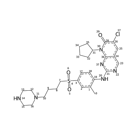 Cc1cc(S(=O)(=O)CCCCN2CCNCC2)ccc1Nc1ncc2cc(Cl)c(=O)n(C3CCCC3)c2n1